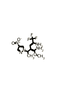 CO/C(N)=C(/C=C(\N)C(F)(F)F)C(C)n1cc([N+](=O)[O-])cn1